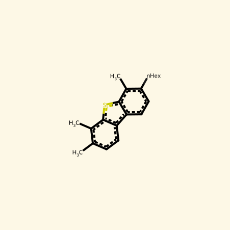 CCCCCCc1ccc2c(sc3c(C)c(C)ccc32)c1C